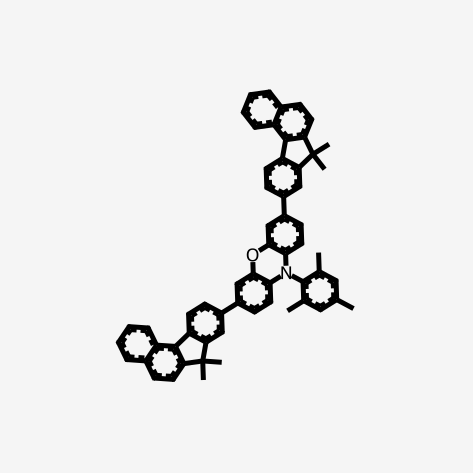 Cc1cc(C)c(N2c3ccc(-c4ccc5c(c4)C(C)(C)c4ccc6ccccc6c4-5)cc3Oc3cc(-c4ccc5c(c4)C(C)(C)c4ccc6ccccc6c4-5)ccc32)c(C)c1